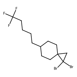 FC(F)(F)CCCCC1CCC2(CC1)CC2(Br)Br